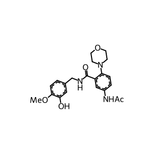 COc1ccc(CNC(=O)c2cc(NC(C)=O)ccc2N2CCOCC2)cc1O